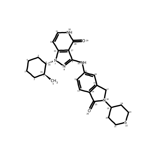 C[C@H]1CCCC[C@@H]1n1nc(Nc2ccc3c(c2)CN(C2CCSCC2)C3=O)c2c(=O)[nH]ccc21